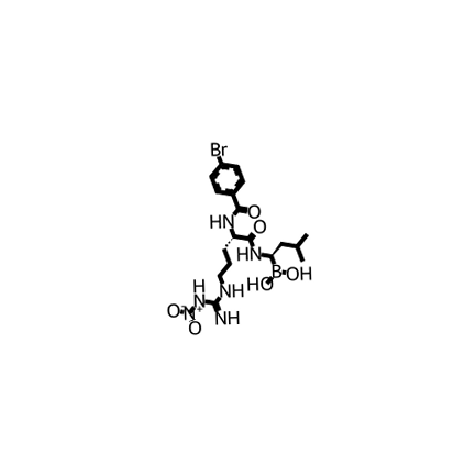 CC(C)C[C@H](NC(=O)[C@H](CCCNC(=N)N[N+](=O)[O-])NC(=O)c1ccc(Br)cc1)B(O)O